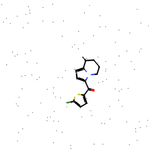 O=C(c1ccc(Cl)s1)c1ccc2n1CCCC2C(=O)O